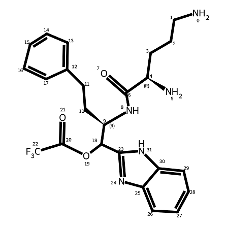 NCCC[C@@H](N)C(=O)N[C@H](CCc1ccccc1)C(OC(=O)C(F)(F)F)c1nc2ccccc2[nH]1